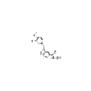 COc1ccc(Cn2ccc3ccc(C(=O)NO)cc32)cc1F